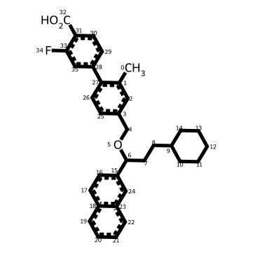 Cc1cc(COC(CCC2CCCCC2)c2ccc3ccccc3c2)ccc1-c1ccc(C(=O)O)c(F)c1